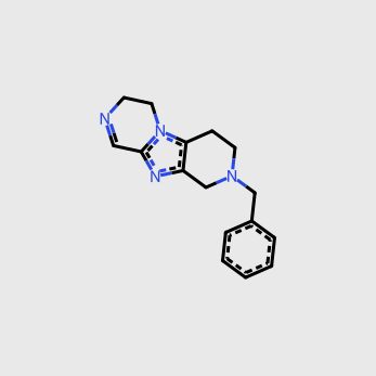 C1=NCCn2c1nc1c2CCN(Cc2ccccc2)C1